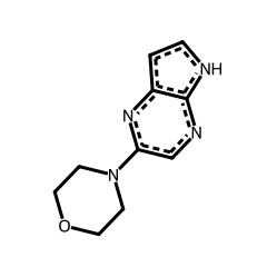 c1cc2nc(N3CCOCC3)cnc2[nH]1